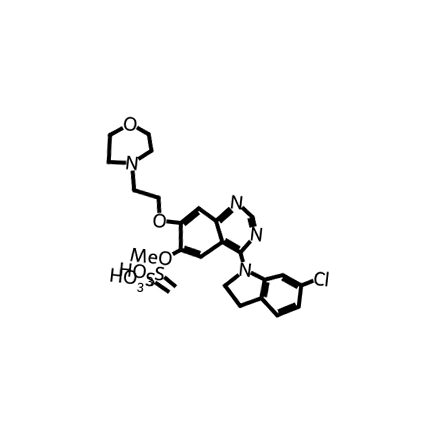 COc1cc2c(N3CCc4ccc(Cl)cc43)ncnc2cc1OCCN1CCOCC1.CS(=O)(=O)O.CS(=O)(=O)O